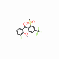 COc1c(F)cccc1C(=O)c1ccc(C(F)(F)F)cc1S(C)(=O)=O